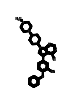 CN1CCN(C2CCC(n3cc(-c4ccc(Oc5ccccc5)c(C#N)c4)c4c(Cl)ncnc43)CC2)CC1